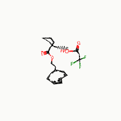 CNC1(C(=O)OCc2ccccc2)CC1.O=C(O)C(F)(F)F